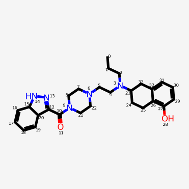 CCCN(CCN1CCN(C(=O)C2=NNC3C=CC=CC23)CC1)C1CCc2c(O)cccc2C1